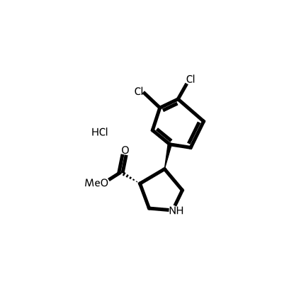 COC(=O)[C@H]1CNC[C@@H]1c1ccc(Cl)c(Cl)c1.Cl